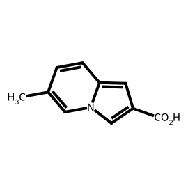 Cc1ccc2cc(C(=O)O)cn2c1